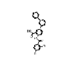 O=C(Nc1ccc(-c2cccc(-c3ccccc3)c2)cc1C(=O)O)c1ccc(Cl)cc1Cl